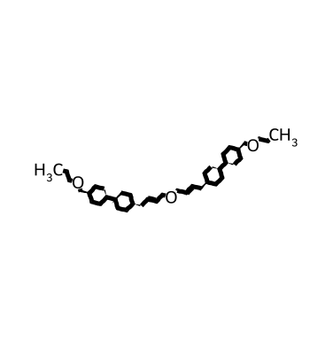 CCCOC[C@H]1CC[C@H]([C@H]2CC[C@H](CC=CCOCC=CC[C@H]3CC[C@H]([C@H]4CC[C@H](COCCC)CC4)CC3)CC2)CC1